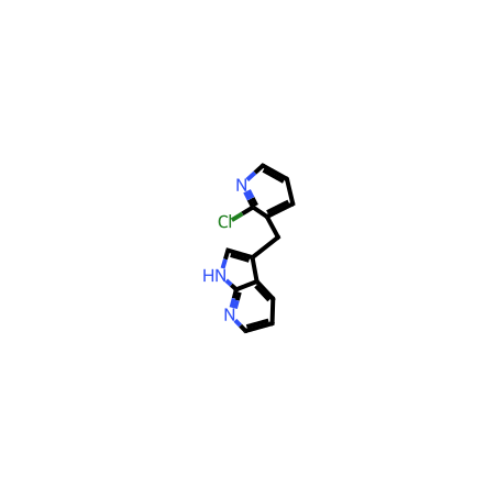 Clc1ncccc1Cc1c[nH]c2ncccc12